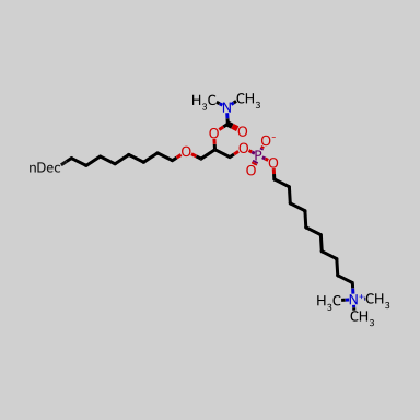 CCCCCCCCCCCCCCCCCCOCC(COP(=O)([O-])OCCCCCCCCCC[N+](C)(C)C)OC(=O)N(C)C